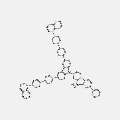 c1ccc(-c2ccc3c(c2)[SiH2]c2cc(-n4c5ccc(-c6ccc(-c7ccc(-c8cccc9ccccc89)cc7)cc6)cc5c5cc(-c6ccc(-c7ccc(-c8cccc9ccccc89)cc7)cc6)ccc54)ccc2-3)cc1